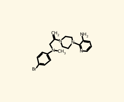 C=C(CN(C)c1ccc(Br)cc1)N1CCN(c2ncccc2N)CC1